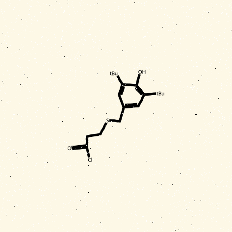 CC(C)(C)c1cc(CSCCC(=O)Cl)cc(C(C)(C)C)c1O